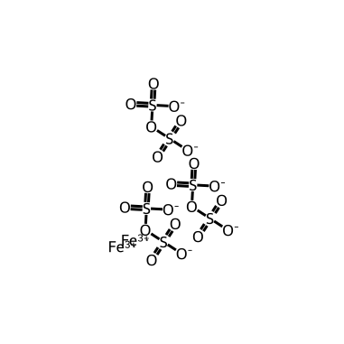 O=S(=O)([O-])OS(=O)(=O)[O-].O=S(=O)([O-])OS(=O)(=O)[O-].O=S(=O)([O-])OS(=O)(=O)[O-].[Fe+3].[Fe+3]